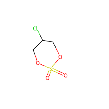 O=S1(=O)OCC(Cl)CO1